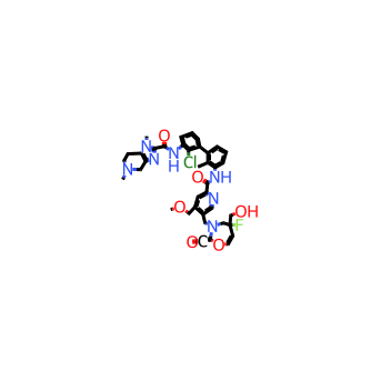 COCc1cc(C(=O)Nc2cccc(-c3cccc(NC(=O)c4nc5c(n4C)CCN(C)C5)c3Cl)c2C)ncc1CN1CC(F)(CO)C=COC1=C=O